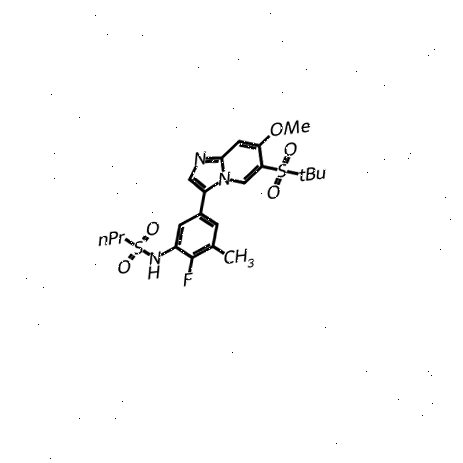 CCCS(=O)(=O)Nc1cc(-c2cnc3cc(OC)c(S(=O)(=O)C(C)(C)C)cn23)cc(C)c1F